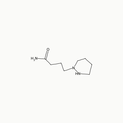 NC(=O)CCCN1CCCCN1